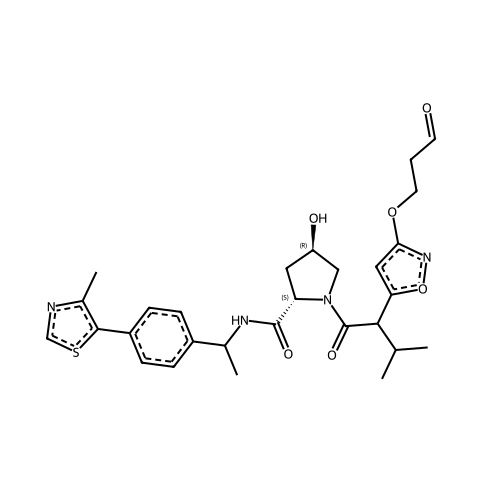 Cc1ncsc1-c1ccc(C(C)NC(=O)[C@@H]2C[C@@H](O)CN2C(=O)C(c2cc(OCCC=O)no2)C(C)C)cc1